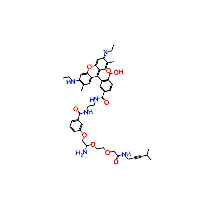 CC/N=c1/cc2oc3cc(NCC)c(C)cc3c(-c3cc(C(=O)NCCNC(=O)c4cccc(OCC(N)OCCOCC(=O)NCC#CC(C)C)c4)ccc3C(=O)O)c-2cc1C